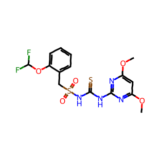 COc1cc(OC)nc(NC(=S)NS(=O)(=O)Cc2ccccc2OC(F)F)n1